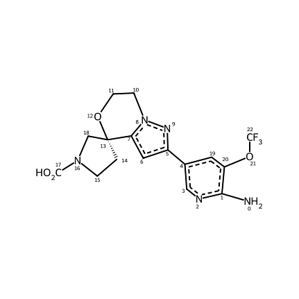 Nc1ncc(-c2cc3n(n2)CCO[C@@]32CCN(C(=O)O)C2)cc1OC(F)(F)F